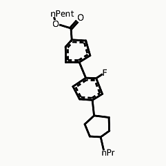 CCCCCOC(=O)c1ccc(-c2ccc(C3CCC(CCC)CC3)cc2F)cc1